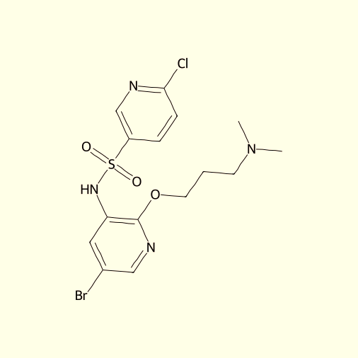 CN(C)CCCOc1ncc(Br)cc1NS(=O)(=O)c1ccc(Cl)nc1